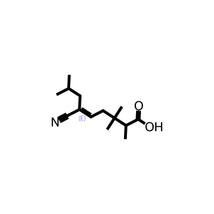 CC(C)C/C(C#N)=C\CC(C)(C)C(C)C(=O)O